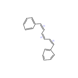 C(=C/C=C\c1ccccc1)/C=C\c1ccccc1